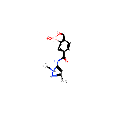 Cc1cc(NC(=O)c2ccc3c(c2)B(O)OC3)n(C)n1